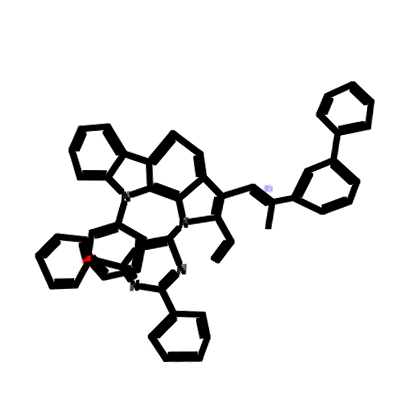 C=Cc1c(/C=C(\C)c2cccc(-c3ccccc3)c2)c2ccc3c4ccccc4n(-c4ccccc4)c3c2n1-c1nc(-c2ccccc2)nc(-c2ccccc2)n1